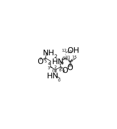 CN[C@@H](CCC(N)=O)C(=O)N[C@H](CO)C(C)=O